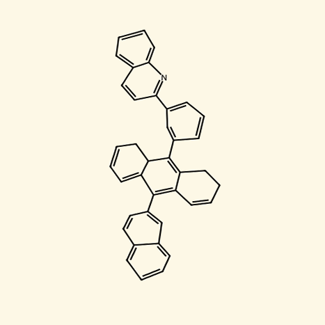 C1=CCC2C(=C1)C(c1ccc3ccccc3c1)=C1C=CCCC1=C2c1cccc(-c2ccc3ccccc3n2)c1